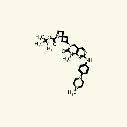 CN1CCN(c2ccc(Nc3ncc4c(n3)N(C)C(=O)N(C3CC5(CCN5C(=O)OC(C)(C)C)C3)C4)cc2)CC1